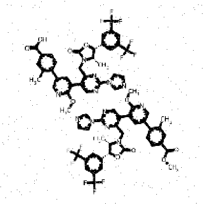 COC(=O)c1ccc(-c2cnc(OC)c(-c3cnc(-n4ccnc4)nc3CN3C(=O)O[C@H](c4cc(C(F)(F)F)cc(C(F)(F)F)c4)[C@@H]3C)c2)c(C)c1.COc1ncc(-c2ccc(C(=O)O)cc2C)cc1-c1cnc(-n2ccnc2)nc1CN1C(=O)O[C@H](c2cc(C(F)(F)F)cc(C(F)(F)F)c2)[C@@H]1C